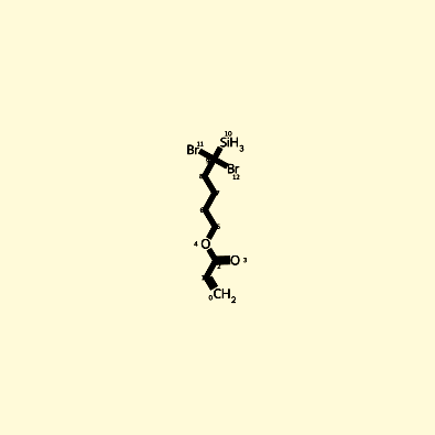 C=CC(=O)OCCCCC([SiH3])(Br)Br